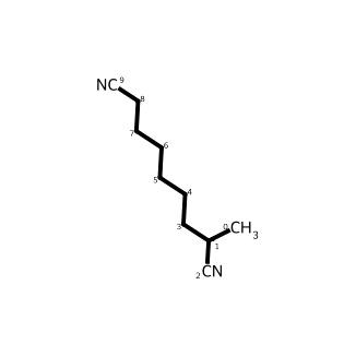 C[C](C#N)CCCCCCC#N